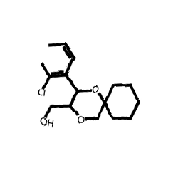 C/C=C\C(=C(/C)Cl)C1OC2(CCCCC2)COC1CO